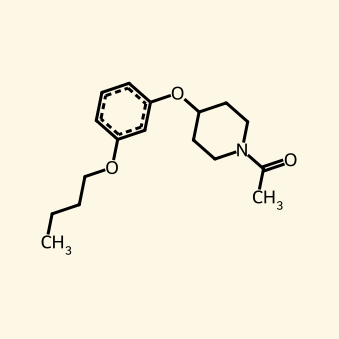 CCCCOc1cccc(OC2CCN(C(C)=O)CC2)c1